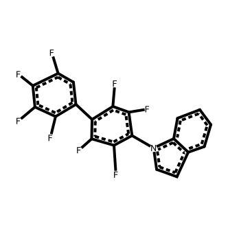 Fc1cc(-c2c(F)c(F)c(-n3ccc4ccccc43)c(F)c2F)c(F)c(F)c1F